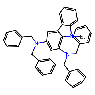 CCn1c2ccccc2c2cc(N(Cc3ccccc3)Cc3ccccc3)cc(N(Cc3ccccc3)Cc3ccccc3)c21